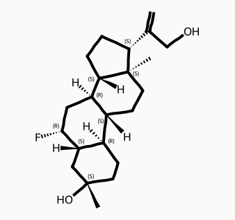 C=C(CO)[C@H]1CC[C@H]2[C@@H]3C[C@@H](F)[C@H]4C[C@@](C)(O)CC[C@@H]4[C@H]3CC[C@]12C